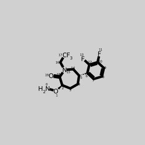 NO[C@@H]1CC[C@@H](c2cccc(F)c2F)CN(CC(F)(F)F)C1=O